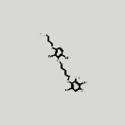 CCCc1c(O)c(C(C)=O)cc(Cl)c1OCCCCCOc1c(C(C)=O)ccc(OCCCC(=O)OCC)c1CCC